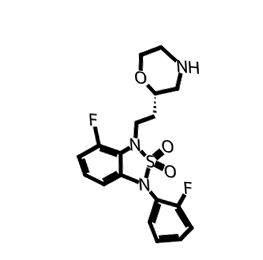 O=S1(=O)N(CC[C@H]2CNCCO2)c2c(F)cccc2N1c1ccccc1F